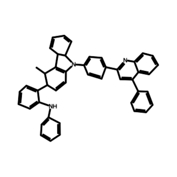 CC1C2=C(C=CC1c1ccccc1Nc1ccccc1)N(c1ccc(-c3cc(-c4ccccc4)c4ccccc4n3)cc1)C1C=CC=CC21